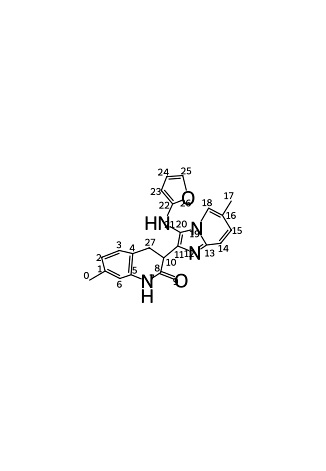 Cc1ccc2c(c1)NC(=O)C(c1nc3ccc(C)cn3c1Nc1ccco1)C2